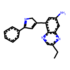 CCc1cnc2c(C3=CC(c4ccccc4)=NC3)cc(N)cc2n1